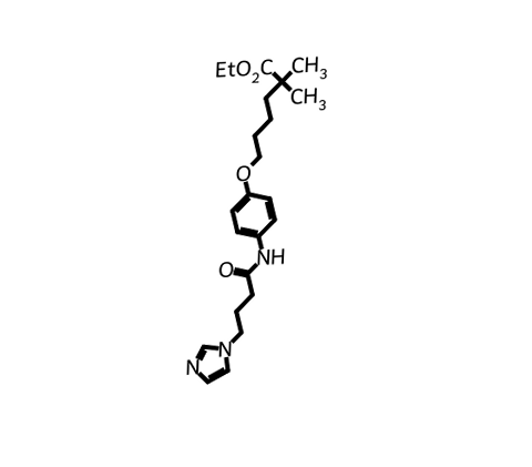 CCOC(=O)C(C)(C)CCCCOc1ccc(NC(=O)CCCn2ccnc2)cc1